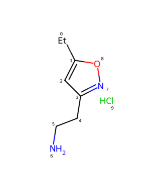 CCc1cc(CCN)no1.Cl